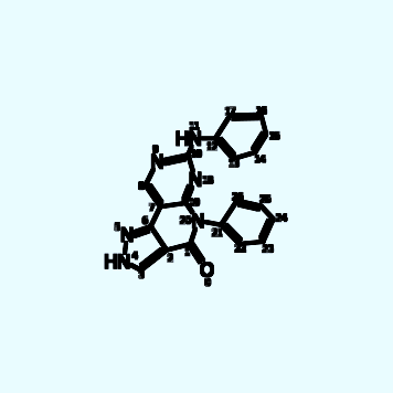 O=c1c2c[nH]nc2c2cnc(Nc3ccccc3)nc2n1-c1ccccc1